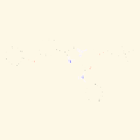 C[Si](C)(C)CCOCn1cc(-c2cccc(Oc3ccccc3)c2)nc1C(=O)Nc1ccccc1